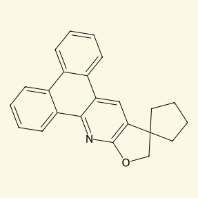 c1ccc2c(c1)c1ccccc1c1nc3c(cc21)C1(CCCC1)CO3